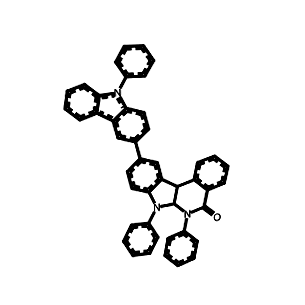 O=C1c2ccccc2C2c3cc(-c4ccc5c(c4)c4ccccc4n5-c4ccccc4)ccc3N(c3ccccc3)C2N1c1ccccc1